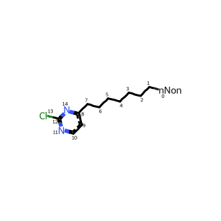 CCCCCCCCCCCCCCCCc1ccnc(Cl)n1